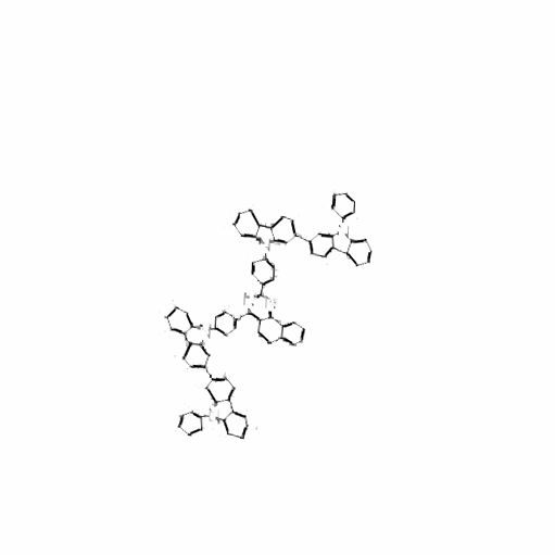 c1ccc(-n2c3ccccc3c3ccc(-c4ccc5c6ccccc6n(-c6ccc(-c7nc(-c8ccc(-n9c%10ccccc%10c%10ccc(-c%11ccc%12c%13ccccc%13n(-c%13ccccc%13)c%12c%11)cc%109)cc8)c8ccc9ccccc9c8n7)cc6)c5c4)cc32)cc1